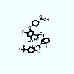 COc1cc(F)c(O[C@H]2CC[C@@H](C(=O)O)CC2)cc1C(=O)N[C@@H]1[C@H]2CC[C@H](C2)[C@@H]1C(=O)Nc1cc(C(F)(F)F)ccc1Cl